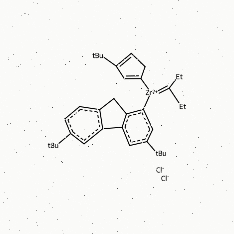 CC[C](CC)=[Zr+2]([C]1=CC(C(C)(C)C)=CC1)[c]1cc(C(C)(C)C)cc2c1Cc1ccc(C(C)(C)C)cc1-2.[Cl-].[Cl-]